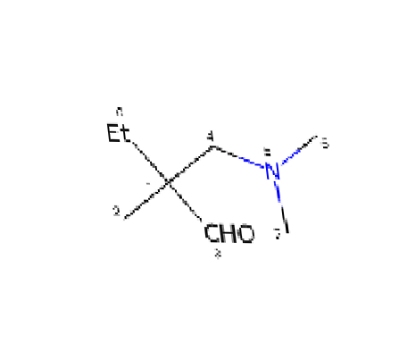 CCC(C)(C=O)CN(C)C